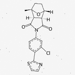 C[C@@]12CC[C@@H](O1)[C@H]1C(=O)N(c3ccc(-c4nccs4)c(Cl)c3)C(=O)[C@H]12